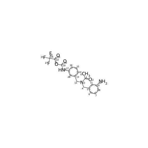 CC(=O)N(Cc1cccc(N)c1)Cc1cccc(NC(=O)OC(=O)C(F)(F)F)c1